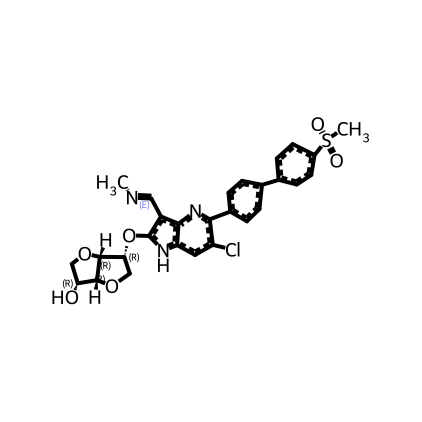 C/N=C/c1c(O[C@@H]2CO[C@H]3[C@@H]2OC[C@H]3O)[nH]c2cc(Cl)c(-c3ccc(-c4ccc(S(C)(=O)=O)cc4)cc3)nc12